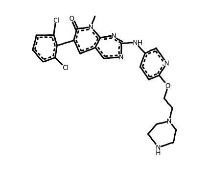 Cn1c(=O)c(-c2c(Cl)cccc2Cl)cc2cnc(Nc3ccc(OCCN4CCNCC4)nc3)nc21